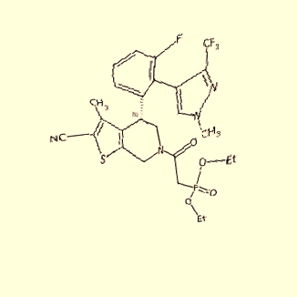 CCOP(=O)(CC(=O)N1Cc2sc(C#N)c(C)c2[C@H](c2cccc(F)c2-c2cn(C)nc2C(F)(F)F)C1)OCC